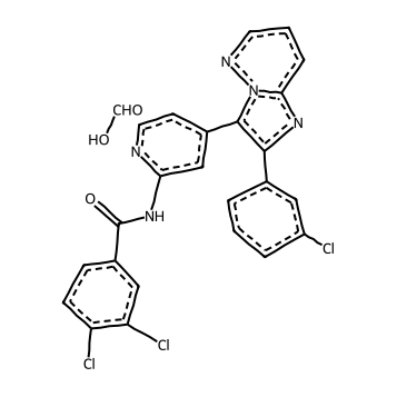 O=C(Nc1cc(-c2c(-c3cccc(Cl)c3)nc3cccnn23)ccn1)c1ccc(Cl)c(Cl)c1.O=CO